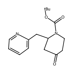 CC(C)(C)OC(=O)N1CCC(=O)CC1Cc1ccccn1